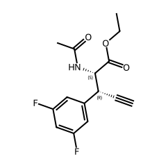 C#C[C@H](c1cc(F)cc(F)c1)[C@H](NC(C)=O)C(=O)OCC